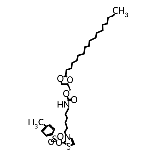 CCCCCCCCCCCCCCCCCC1OCC(COC(=O)NCCCCCCN2C=CSC2OS(=O)(=O)c2ccc(C)cc2)O1